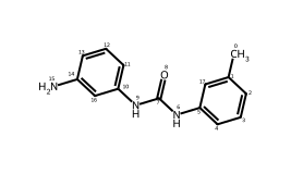 Cc1cccc(NC(=O)Nc2cccc(N)c2)c1